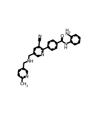 Cc1ccc(CNCc2cnc(-c3ccc(C(=O)Nc4ccccc4N)cc3)c(C#N)c2)cn1